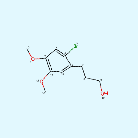 COc1cc(Br)c(CCCO)cc1OC